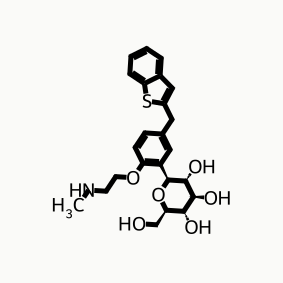 CNCCOc1ccc(Cc2cc3ccccc3s2)cc1[C@@H]1O[C@H](CO)[C@@H](O)[C@H](O)[C@H]1O